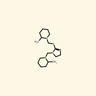 CC1CCCCN1CSC1=NCCN1CN1CCCCC1C